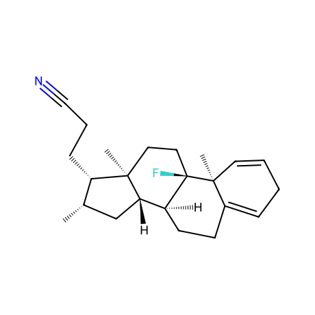 C[C@H]1C[C@H]2[C@@H]3CCC4=CCC=C[C@]4(C)[C@@]3(F)CC[C@]2(C)[C@H]1CCC#N